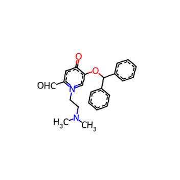 CN(C)CCn1cc(OC(c2ccccc2)c2ccccc2)c(=O)cc1C=O